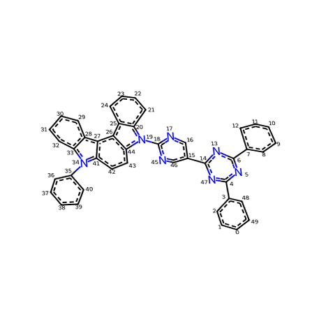 c1ccc(-c2nc(-c3ccccc3)nc(-c3cnc(-n4c5ccccc5c5c6c7ccccc7n(-c7ccccc7)c6ccc54)nc3)n2)cc1